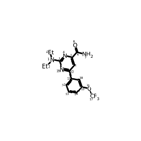 CCN(CC)c1nc(C(N)=O)cc(-c2cccc(OC(F)(F)F)c2)n1